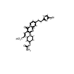 CC(C)c1csc(CCc2ccn3c(=O)c(C=CC(=O)O)c(N4CCC(OC(N)=O)CC4)nc3c2)n1